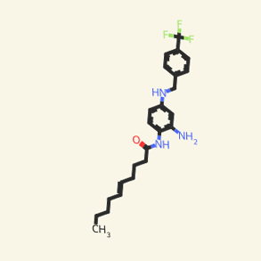 CCCC/C=C/CCCC(=O)Nc1ccc(NCc2ccc(C(F)(F)F)cc2)cc1N